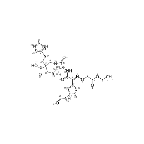 CCOC(=O)CON=C(C(=O)NC1C(=O)N2CC(CSc3nnn[nH]3)(C(=O)O)CS[C@H]12)c1csc(NC=O)n1